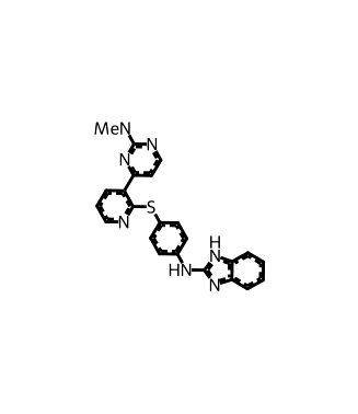 CNc1nccc(-c2cccnc2Sc2ccc(Nc3nc4ccccc4[nH]3)cc2)n1